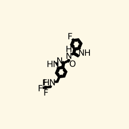 O=C(Nc1c[nH]c2ccc(F)cc12)c1n[nH]c2cc(CNCC(F)(F)F)ccc12